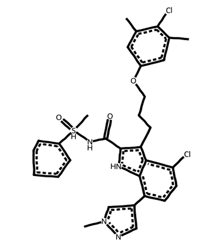 Cc1cc(OCCCc2c(C(=O)N[SH](C)(=O)c3ccccc3)[nH]c3c(-c4cnn(C)c4)ccc(Cl)c23)cc(C)c1Cl